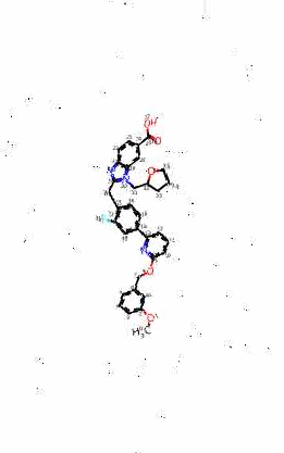 COc1cccc(COc2cccc(-c3ccc(Cc4nc5ccc(C(=O)O)cc5n4CC4CCCO4)c(F)c3)n2)c1